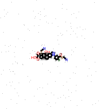 CC(C(=O)O)[C@]1(C(=O)SCC#N)CC[C@H]2[C@@H]3CCC4=Cc5c(cnn5-c5ccc(F)c(C(=O)SCC#N)c5)C[C@]4(C)[C@H]3[C@@H](O)C[C@@]21C